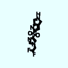 O=S(=O)(c1cn(CC(F)F)cn1)n1cc2c(n1)CNC2